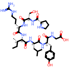 CC[C@H](C)[C@H](NC(=O)[C@H](CCCNC(=N)N)NC(=O)[C@H](CO)NC(=O)[C@@H]1CCCN1)C(=O)N[C@@H](CC(C)C)C(=O)N[C@@H](Cc1ccc(O)cc1)C(=O)NCC(=O)O